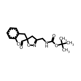 CC(C)(C)OC(=O)NCC1=NOC(C=O)(Cc2ccccc2Cl)C1